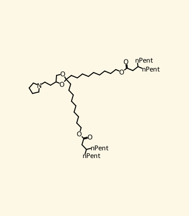 CCCCCC(CCCCC)CC(=O)OCCCCCCCCCC1(CCCCCCCCCOC(=O)CC(CCCCC)CCCCC)OCC(CCN2CCCC2)O1